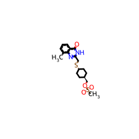 Cc1cccc2c(=O)[nH]c(CS[C@H]3CC[C@H](COS(C)(=O)=O)CC3)nc12